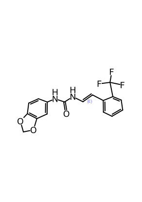 O=C(N/C=C/c1ccccc1C(F)(F)F)Nc1ccc2c(c1)OCO2